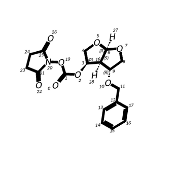 O=C(O[C@H]1CO[C@H]2OC[C@H](OCc3ccccc3)[C@H]21)ON1C(=O)CCC1=O